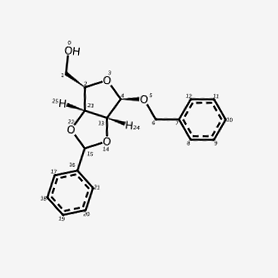 OC[C@H]1O[C@@H](OCc2ccccc2)[C@@H]2OC(c3ccccc3)O[C@@H]21